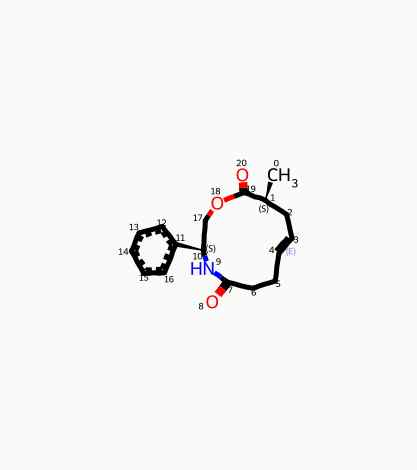 C[C@H]1C/C=C/CCC(=O)N[C@@H](c2ccccc2)COC1=O